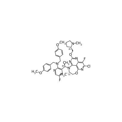 COc1ccc(CN(Cc2ccc(OC)cc2)c2ncc(F)cc2[C@@H](C)N2c3nc(OC[C@H]4CCCN4C)nc4c(F)c(Cl)nc(c34)OC[C@@H]2C)cc1